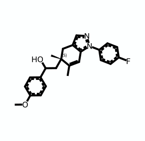 COc1ccc(C(O)C[C@]2(C)Cc3cnn(-c4ccc(F)cc4)c3C=C2C)cc1